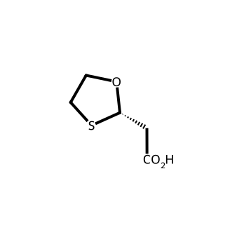 O=C(O)C[C@H]1OCCS1